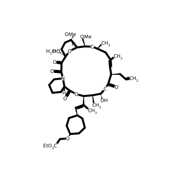 C=CC[C@@H]1/C=C(\C)C[C@H](C)C[C@H](OC)[C@H]2O[C@@](O)(C(=O)C(=O)N3CCCC[C@H]3C(=O)O[C@H](/C(C)=C/[C@H]3CCC[C@H](OCC(=O)OCC)CC3)[C@H](C)[C@@H](O)CC1=O)[C@H](C)C[C@@H]2OC